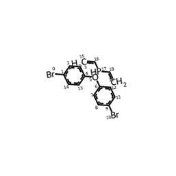 Brc1ccc(Oc2ccc(Br)cc2)cc1.C=CPC=C